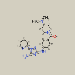 CN(C)C1CCN(C(=O)c2ccc(Nc3nc(N)n(-c4ccccn4)n3)cc2)CC1